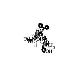 CCn1nnc([C@H]2O[C@@H](n3cnc4c(NCC(c5ccccc5)c5ccccc5)nc(N5CC[C@@H](N(OC(=O)C(F)(F)F)C(=O)NCc6cccc(O)c6)C5)nc43)[C@@H](O)[C@@H]2O)n1